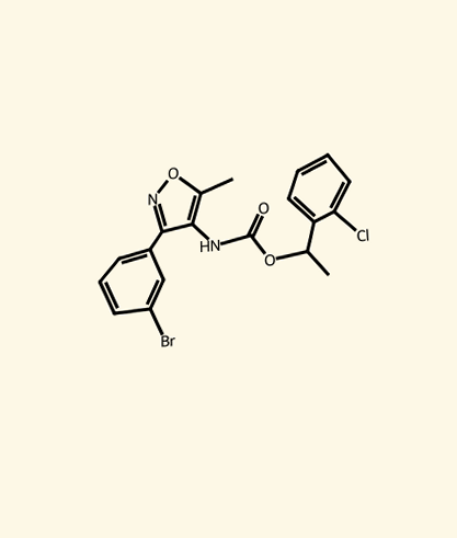 Cc1onc(-c2cccc(Br)c2)c1NC(=O)OC(C)c1ccccc1Cl